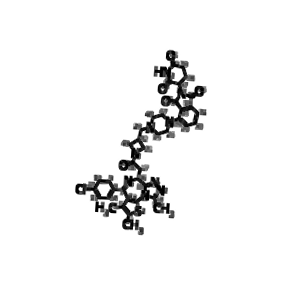 Cc1sc2c(c1C)C(c1ccc(Cl)cc1)=N[C@@H](CC(=O)N1CC(CN3CCN(c4cccc5c4C(=O)N(C4CCC(=O)NC4=O)C5=O)CC3)C1)c1nnc(C)n1-2